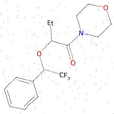 CCC(OC(c1ccccc1)C(F)(F)F)C(=O)N1CCOCC1